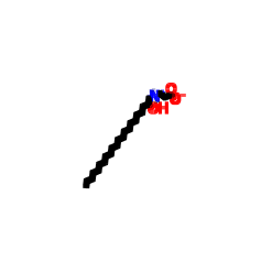 CCCCCCCCCCCCCCCCCCCCC(O)C[N+](C)(C)CCC(=O)[O-]